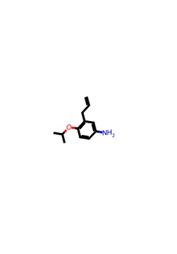 C=CCc1cc(N)ccc1OC(C)C